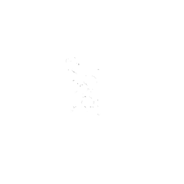 COC(=O)CC(=O)N(CC=CC(F)(F)F)Cc1ccc(OC)cc1OC